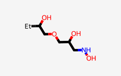 CCC(O)COCC(O)CNO